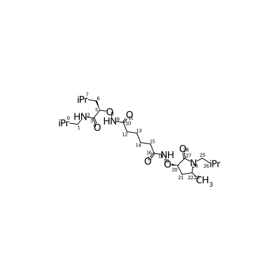 CC(C)CNC(=O)[C@@H](CC(C)C)ONC(=O)CCCCC(=O)NO[C@@H]1CC(C)N(CC(C)C)C1=O